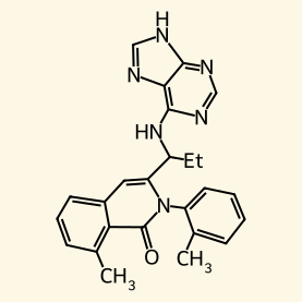 CCC(Nc1ncnc2[nH]cnc12)c1cc2cccc(C)c2c(=O)n1-c1ccccc1C